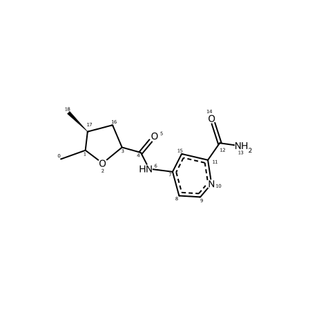 CC1OC(C(=O)Nc2ccnc(C(N)=O)c2)C[C@@H]1C